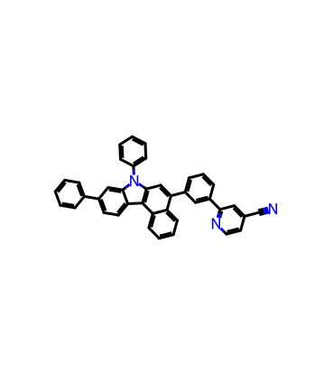 N#Cc1ccnc(-c2cccc(-c3cc4c(c5ccccc35)c3ccc(-c5ccccc5)cc3n4-c3ccccc3)c2)c1